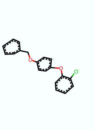 Clc1ccccc1Oc1[c]cc(OCc2ccccc2)cc1